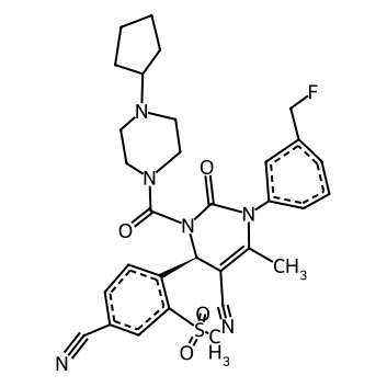 CC1=C(C#N)[C@@H](c2ccc(C#N)cc2S(C)(=O)=O)N(C(=O)N2CCN(C3CCCC3)CC2)C(=O)N1c1cccc(CF)c1